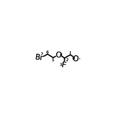 [O]CC(F)OCCBr